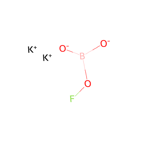 [K+].[K+].[O-]B([O-])OF